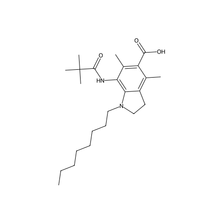 CCCCCCCCN1CCc2c(C)c(C(=O)O)c(C)c(NC(=O)C(C)(C)C)c21